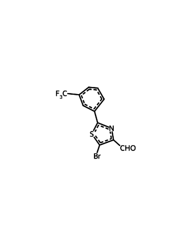 O=Cc1nc(-c2cccc(C(F)(F)F)c2)sc1Br